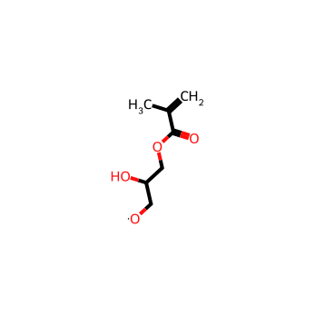 C=C(C)C(=O)OCC(O)C[O]